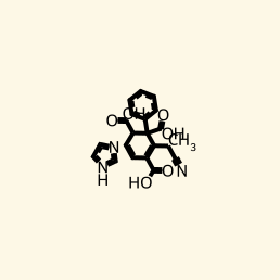 CC(C#N)C1=C(C(=O)O)C=CC(C(=O)O)C1(C(=O)O)c1ccccc1.c1c[nH]cn1